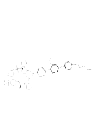 C=C(CO)C(=O)OCC(COC(=O)C(C)(C)COC)C1=CC=C(c2ccc(-c3ccc(CCCCC)cc3)cc2CC)CC1